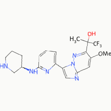 COc1cc2ncc(-c3cccc(N[C@@H]4CCCNC4)n3)n2nc1C(C)(O)C(F)(F)F